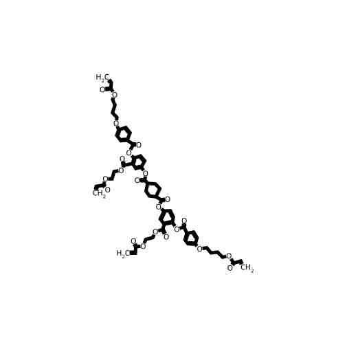 C=CC(=O)OCCCCOc1ccc(C(=O)Oc2ccc(OC(=O)C3CCC(C(=O)Oc4ccc(OC(=O)c5ccc(OCCCCOC(=O)C=C)cc5)c(C(=O)OCCOC(=O)C=C)c4)CC3)cc2C(=O)OCCOC(=O)C=C)cc1